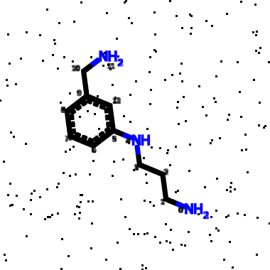 NCCCNc1c[c]cc(CN)c1